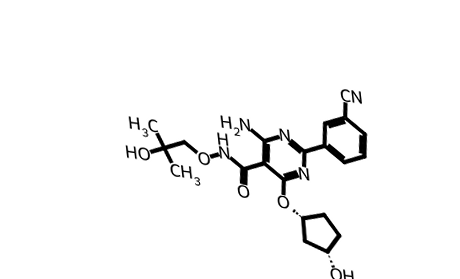 CC(C)(O)CONC(=O)c1c(N)nc(-c2cccc(C#N)c2)nc1O[C@@H]1CC[C@H](O)C1